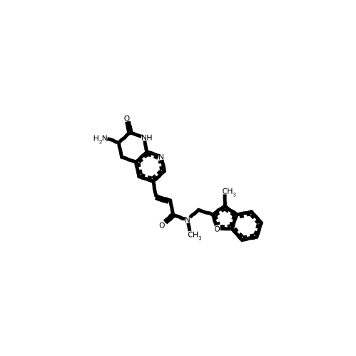 Cc1c(CN(C)C(=O)/C=C/c2cnc3c(c2)CC(N)C(=O)N3)oc2ccccc12